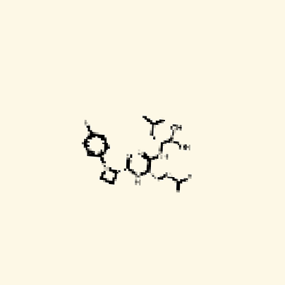 CC(C)C[C@@H](NC(=O)[C@H](COC(F)F)NC(=O)[C@@H]1CCN1c1ccc(F)cc1)B(O)O